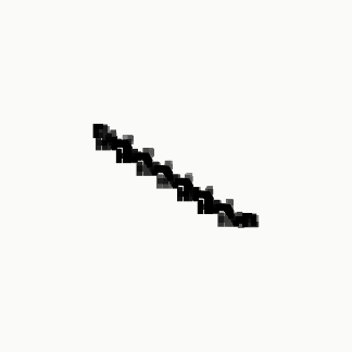 CCNCNCNCNCNCNCNCC